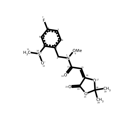 CON(Cc1ccc(F)cc1[S+](C)[O-])C(=O)C=C1OC(C)(C)OC1=O